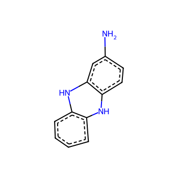 Nc1ccc2c(c1)Nc1ccccc1N2